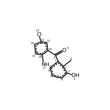 Cc1c(O)cccc1C(=O)c1cc(Cl)ccc1N